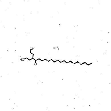 CCCCCCCCCCCCCCCCCC(Cl)C(CCO)CCO.N